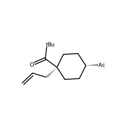 C=CC[C@]1(C(=O)C(C)(C)C)CC[C@H](C(C)=O)CC1